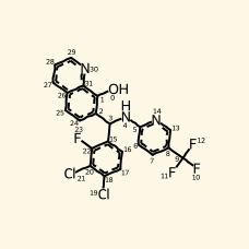 Oc1c(C(Nc2ccc(C(F)(F)F)cn2)c2ccc(Cl)c(Cl)c2F)ccc2cccnc12